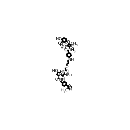 Cc1ncsc1-c1ccc(CNC(=O)[C@@H]2C[C@@H](O)CN2C(=O)[C@@H](NC(=O)COCCCNc2ccc(C(=O)N[C@H]3C(C)(C)[C@H](Oc4ccc(C#N)c(Cl)c4)C3(C)C)cc2)C(C)(C)C)cc1